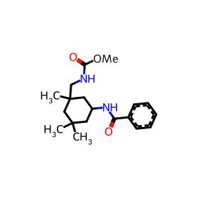 COC(=O)NCC1(C)CC(NC(=O)c2ccccc2)CC(C)(C)C1